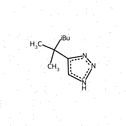 CCC(C)C(C)(C)c1c[nH]nn1